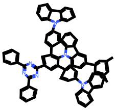 Cc1cc(C)cc(-c2ccc3c(c2)c2ccccc2n3-c2c(-c3ccc(-n4c5ccccc5c5ccccc54)cc3)cc(-c3nc(-c4ccccc4)nc(-c4ccccc4)n3)cc2-c2ccc(-n3c4ccccc4c4ccccc43)cc2)c1